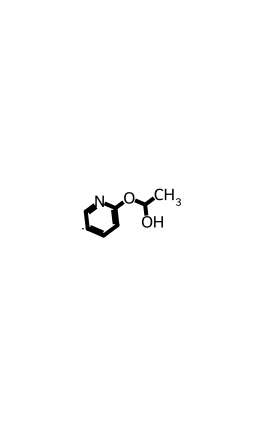 CC(O)Oc1cc[c]cn1